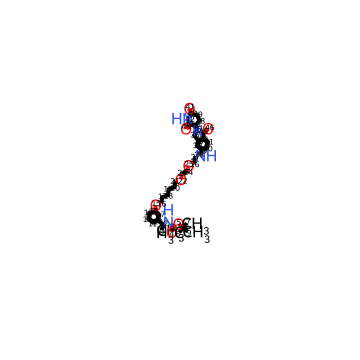 CC(NC(=O)OC(C)(C)C)c1cccc(OCCCCCCOCCOCCNc2ccc3c(c2)CN(C2CCC(=O)NC2=O)C3=O)c1